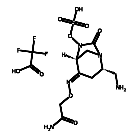 NC[C@@H]1CC(=NOCC(N)=O)[C@@H]2CN1C(=O)N2OS(=O)(=O)O.O=C(O)C(F)(F)F